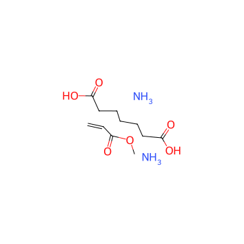 C=CC(=O)OC.N.N.O=C(O)CCCCCC(=O)O